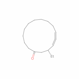 CCC1C=C=CCCCCCCCCCC(=O)C1